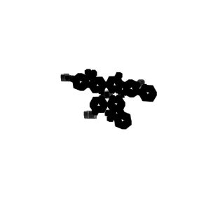 Cc1cc2c3c4c1c1cc5oc6ccccc6c5cc1n4-c1cc4c(cc1B3N(c1ccc(C(C)(C)C)cc1)c1cc3c(cc1-2)C(C)(C)c1cc(C(C)(C)C)ccc1-3)C(C)(C)c1ccccc1-4